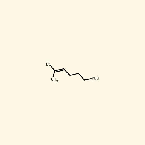 [CH2]CCCCCCC=C(C)CC